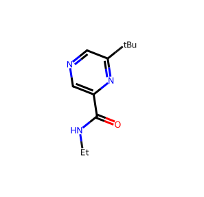 CCNC(=O)c1cncc(C(C)(C)C)n1